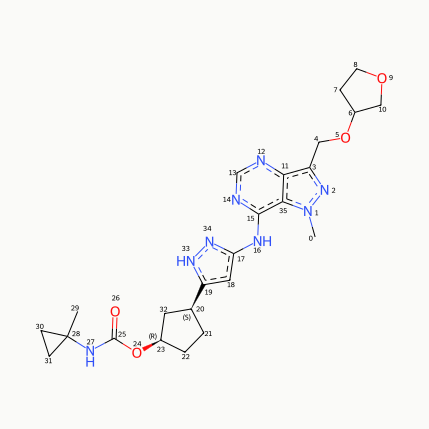 Cn1nc(COC2CCOC2)c2ncnc(Nc3cc([C@H]4CC[C@@H](OC(=O)NC5(C)CC5)C4)[nH]n3)c21